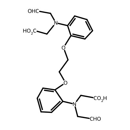 O=CCN(CC(=O)O)c1ccccc1OCCOc1ccccc1N(CC=O)CC(=O)O